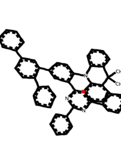 CC1(C)c2ccccc2N(c2ccc(-c3cc(-c4ccccc4)ccc3-c3ccccc3)cc2-c2nc(-c3ccccc3)nc(-c3ccccc3)n2)c2ccccc21